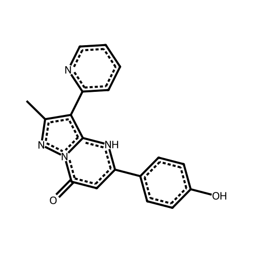 Cc1nn2c(=O)cc(-c3ccc(O)cc3)[nH]c2c1-c1ccccn1